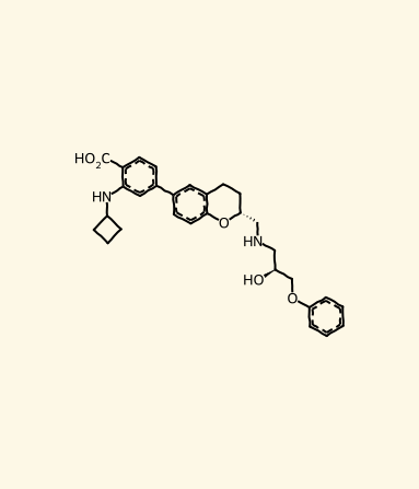 O=C(O)c1ccc(-c2ccc3c(c2)CC[C@H](CNC[C@H](O)COc2ccccc2)O3)cc1NC1CCC1